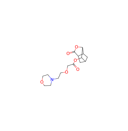 O=C(COCCN1CCOCC1)OC1C2CC3C(=O)OC1C3C2